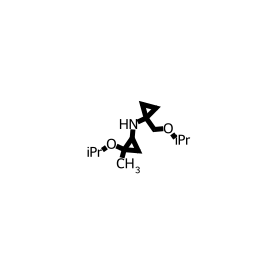 CC(C)OCC1(NC2CC2(C)OC(C)C)CC1